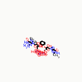 Cc1nc2c(ncn2[C@@H]2O[C@H](COP(=O)(O)OP(=O)(O)OP(=O)(O)OC[C@H]3O[C@@H](n4c[n+](C)c5c(=O)[nH]c(N)nc54)[C@H]4OC5(CCCCC5)OC34)C(O)[C@@H]2O)c(=O)[nH]1